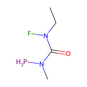 CCN(F)C(=O)N(C)P